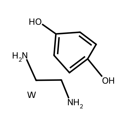 NCCN.Oc1ccc(O)cc1.[W]